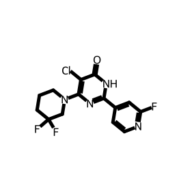 O=c1[nH]c(-c2ccnc(F)c2)nc(N2CCCC(F)(F)C2)c1Cl